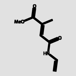 C=CNC(=O)C=C(C)C(=O)OC